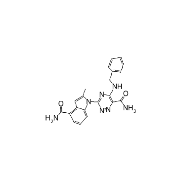 Cc1cc2c(C(N)=O)cccc2n1-c1nnc(C(N)=O)c(NCc2ccccc2)n1